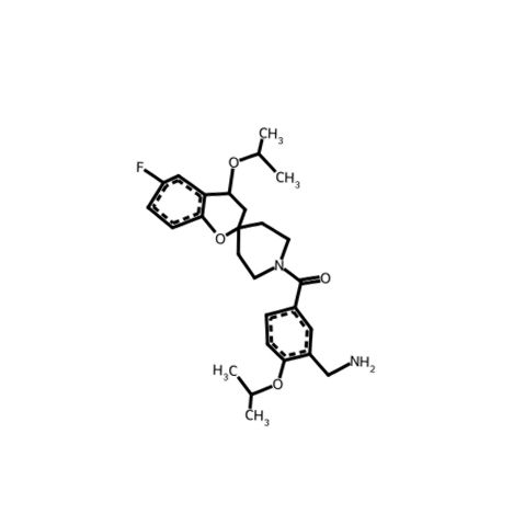 CC(C)Oc1ccc(C(=O)N2CCC3(CC2)CC(OC(C)C)c2cc(F)ccc2O3)cc1CN